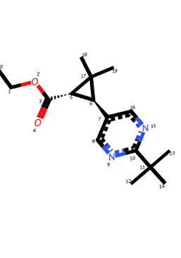 CCOC(=O)[C@H]1[C@H](c2cnc(C(C)(C)C)nc2)C1(C)C